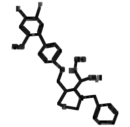 COc1cc(F)c(F)cc1-c1ccc(OCC2CCCN(Cc3ccccc3)C2C(NC=O)C(=O)O)cc1